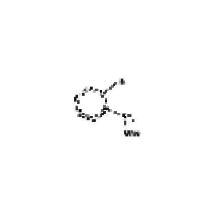 CO[SiH2]c1ccccc1C(C)(C)C